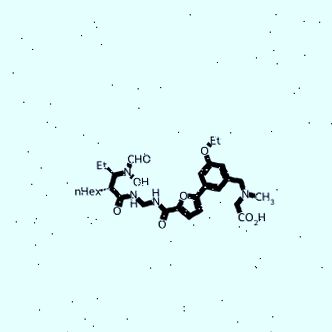 CCCCCC[C@@H](C(=O)NCNC(=O)c1ccc(-c2cc(CN(C)CC(=O)O)cc(OCC)c2)o1)[C@@H](CC)N(O)C=O